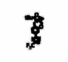 CC(C)(C)C(=O)N1Cc2ccc(-c3noc(C(F)(F)F)n3)cc2OCC12CC2